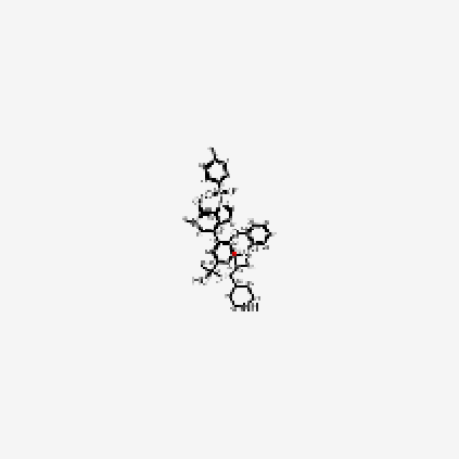 Cc1ccc(S(=O)(=O)n2ccc3c(-c4cc(C(C)(C)O)ccc4Oc4ccccc4N4CC(CC5CCNCC5)C4)cn(C)c(=O)c32)cc1